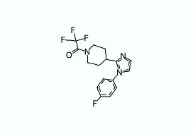 O=C(N1CCC(c2nccn2-c2ccc(F)cc2)CC1)C(F)(F)F